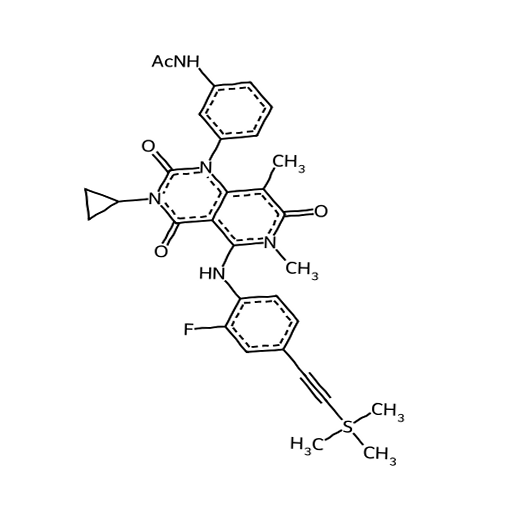 CC(=O)Nc1cccc(-n2c(=O)n(C3CC3)c(=O)c3c(Nc4ccc(C#CS(C)(C)C)cc4F)n(C)c(=O)c(C)c32)c1